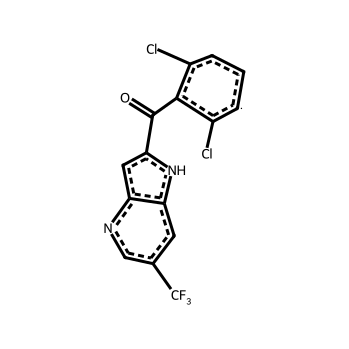 O=C(c1cc2ncc(C(F)(F)F)cc2[nH]1)c1c(Cl)[c]ccc1Cl